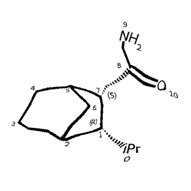 CC(C)[C@@H]1C2CCC(C2)[C@@H]1C(N)=O